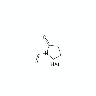 C=CN1CCCC1=O.[AtH]